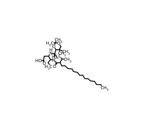 CCCCCCCCCCCCCCCC(C(=O)NC(CC)C(CC(=O)O)NC(=O)C1OC(C)(C)OCC1(C)C)C(C)C